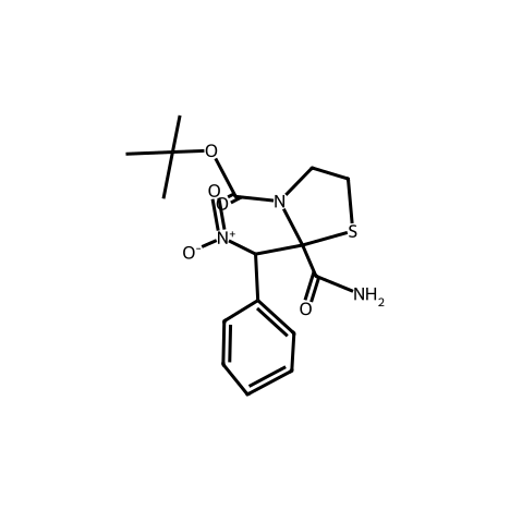 CC(C)(C)OC(=O)N1CCSC1(C(N)=O)C(c1ccccc1)[N+](=O)[O-]